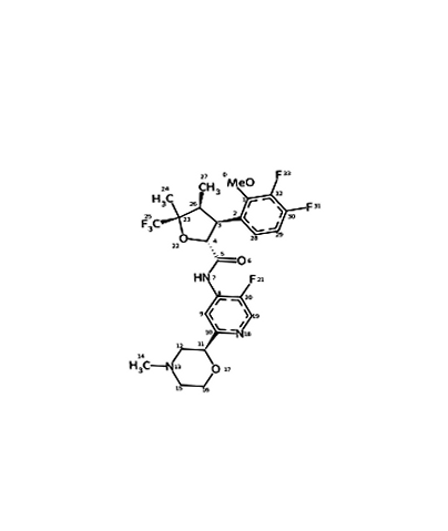 COc1c([C@H]2[C@H](C(=O)Nc3cc([C@@H]4CN(C)CCO4)ncc3F)O[C@@](C)(C(F)(F)F)[C@H]2C)ccc(F)c1F